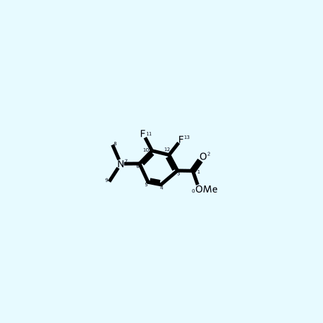 COC(=O)c1ccc(N(C)C)c(F)c1F